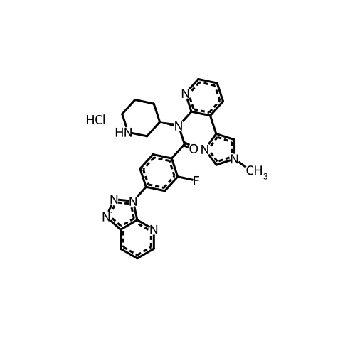 Cl.Cn1cnc(-c2cccnc2N(C(=O)c2ccc(-n3nnc4cccnc43)cc2F)[C@@H]2CCCNC2)c1